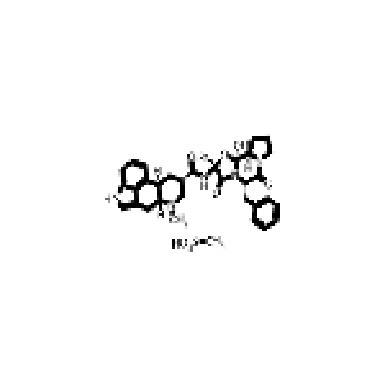 CC(C)[C@@]1(NC(=O)[C@@H]2C[C@@H]3c4cccc5[nH]cc(c45)C[C@H]3N(C)C2)O[C@@]2(O)[C@@H]3CCCN3C(=O)[C@H](Cc3ccccc3)N2C1=O.CS(=O)(=O)O